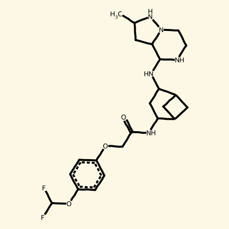 CC1CC2C(NC3CC(NC(=O)COc4ccc(OC(F)F)cc4)C4CC3C4)NCCN2N1